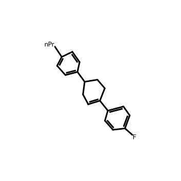 CCCc1ccc(C2CC=C(c3ccc(F)cc3)CC2)cc1